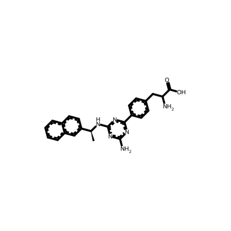 C[C@H](Nc1nc(N)nc(-c2ccc(CC(N)C(=O)O)cc2)n1)c1ccc2ccccc2c1